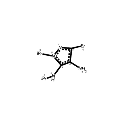 CC(C)Nc1c(N)c(Br)nn1C(C)C